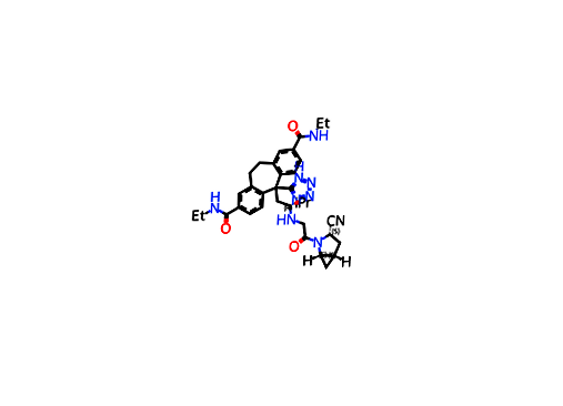 CCNC(=O)c1ccc2c(c1)CCc1cc(C(=O)NCC)ccc1C2(C[C@@H](NCC(=O)N1[C@H](C#N)C[C@@H]2C[C@@H]21)C(C)C)c1nnn[nH]1